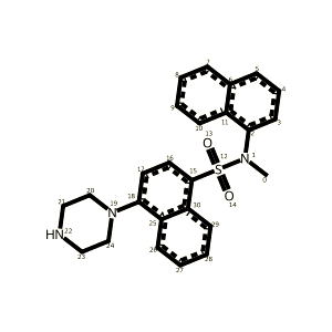 CN(c1cccc2ccccc12)S(=O)(=O)c1ccc(N2CCNCC2)c2ccccc12